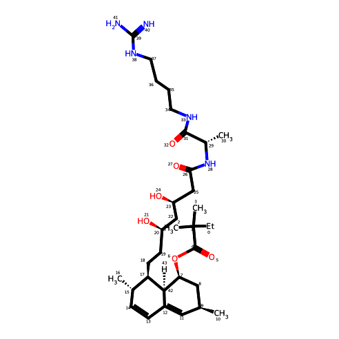 CCC(C)(C)C(=O)O[C@H]1C[C@@H](C)C=C2C=C[C@H](C)[C@@H](CC[C@@H](O)C[C@@H](O)CC(=O)N[C@@H](C)C(=O)NCCCCNC(=N)N)[C@H]21